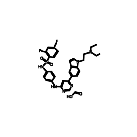 CCN(CC)CCn1ccc2cc(-c3cc(Nc4ccc(NS(=O)(=O)c5ccc(F)cc5F)cc4)ncn3)ccc21.O=CO